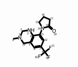 CN1CNc2c(cc(C(F)(F)F)cc2N2CCCC2=O)C1